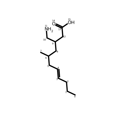 CCCC=CCC(C)CC(CN)CC(=O)O